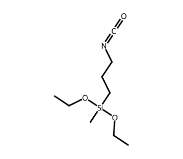 CCO[Si](C)(CCCN=C=O)OCC